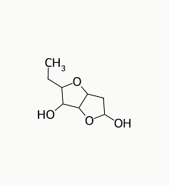 CCC1OC2CC(O)OC2C1O